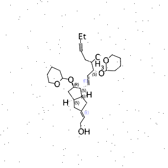 CCC#CCC(C)[C@@H](/C=C/[C@@H]1[C@H]2C/C(=C/CO)C[C@H]2C[C@H]1OC1CCCCO1)OC1CCCCO1